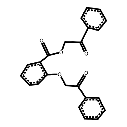 O=C(COC(=O)c1ccccc1OCC(=O)c1ccccc1)c1ccccc1